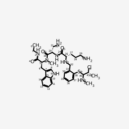 CCNC(=O)[C@H](Cc1c[nH]c2ccccc12)N(C)C(=O)[C@H](CN)NC(=O)[C@H](CCCN)NCc1ccccc1SC(NC)[C@@H](C)Cl